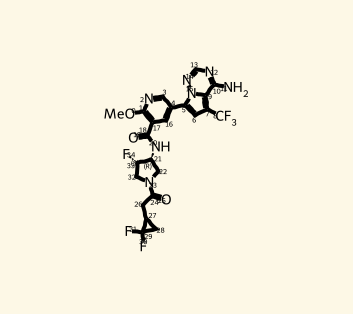 COc1ncc(-c2cc(C(F)(F)F)c3c(N)ncnn23)cc1C(=O)N[C@@H]1CN(C(=O)CC2CC2(F)F)C[C@@H]1F